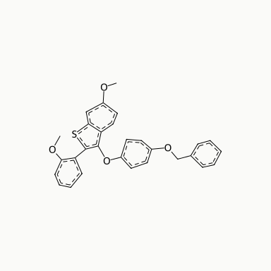 COc1ccc2c(Oc3ccc(OCc4ccccc4)cc3)c(-c3ccccc3OC)sc2c1